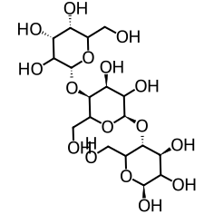 OCC1O[C@H](O[C@@H]2C(CO)O[C@H](O[C@H]3C(CO)O[C@H](O)C(O)[C@@H]3O)C(O)[C@@H]2O)C(O)[C@H](O)[C@@H]1O